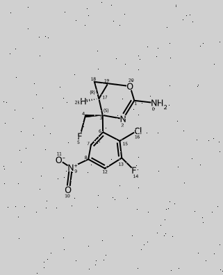 NC1=N[C@](CF)(c2cc([N+](=O)[O-])cc(F)c2Cl)[C@H]2CC2O1